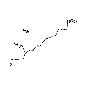 Br.CCCCCCCCCCCCCCCC(N)CCBr